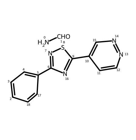 NC=O.c1ccc(-c2nsc(-c3ccnnc3)n2)cc1